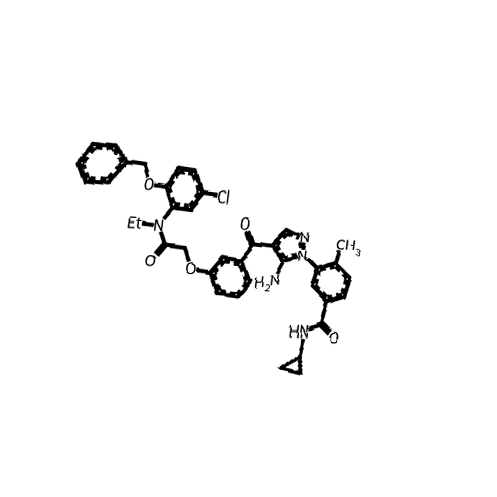 CCN(C(=O)COc1cccc(C(=O)c2cnn(-c3cc(C(=O)NC4CC4)ccc3C)c2N)c1)c1cc(Cl)ccc1OCc1ccccc1